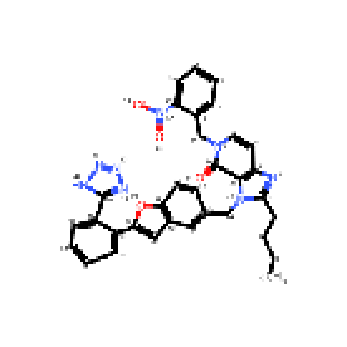 CCCCc1nc2ccn(Cc3ccccc3[N+](=O)[O-])c(=O)c2n1Cc1ccc2oc(-c3ccccc3-c3nnn[nH]3)cc2c1